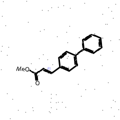 COC(=O)/C=C/c1ccc(-c2cc[c]cc2)cc1